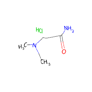 CN(C)CC(N)=O.Cl